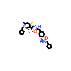 CC1Cc2sc(NC(=O)C=C3CCC(S(=O)(=O)NCC4CCCC4)CC3)c(C#N)c2CN1CC1CCCC1